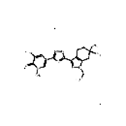 CCn1nc(-c2nc(-c3cc(C)c(=O)n(C)c3)no2)c2c1CC(C)(C)CC2